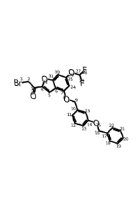 O=C(CBr)c1cc2c(OCc3cccc(OCc4ccccc4)c3)cc(OC(F)F)cc2o1